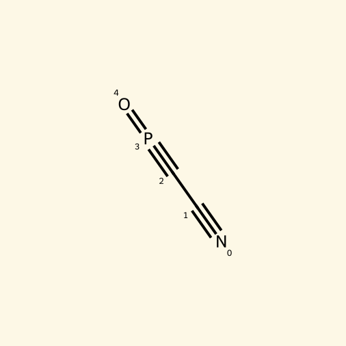 N#CC#P=O